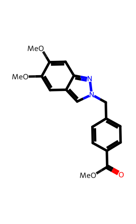 COC(=O)c1ccc(Cn2cc3cc(OC)c(OC)cc3n2)cc1